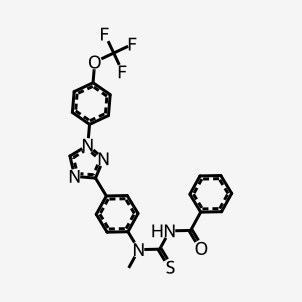 CN(C(=S)NC(=O)c1ccccc1)c1ccc(-c2ncn(-c3ccc(OC(F)(F)F)cc3)n2)cc1